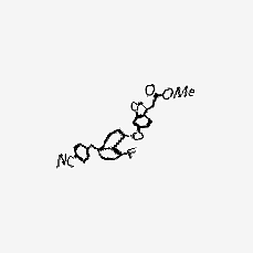 COC(=O)C[C@@H]1COc2cc(O[C@@H]3CCc4c(Cc5ccc(C#N)cc5)ccc(F)c43)ccc21